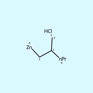 CCCC(C)[CH2][Zn].Cl